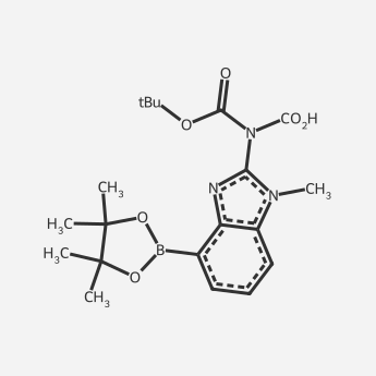 Cn1c(N(C(=O)O)C(=O)OC(C)(C)C)nc2c(B3OC(C)(C)C(C)(C)O3)cccc21